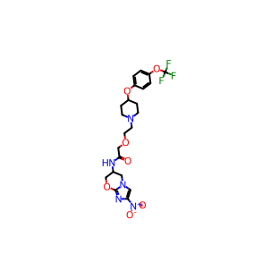 O=C(COCCN1CCC(Oc2ccc(OC(F)(F)F)cc2)CC1)NC1COc2nc([N+](=O)[O-])cn2C1